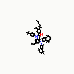 CCCCC(C)(C)C1Cc2oc3c(c2C=C1CC)N(c1ccc(C(C)(C)C)cc1)c1cc(CC)cc2c1B3c1cc3c(cc1N2c1cc2c(cc1C)C(C)(C)CCC2(C)C)C(C)(C)CCC3(C)C